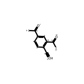 C#Cc1ccc(C(=O)I)cc1C(=O)I